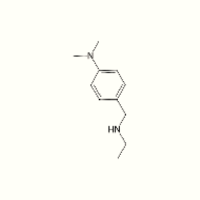 CCNCc1ccc(N(C)C)cc1